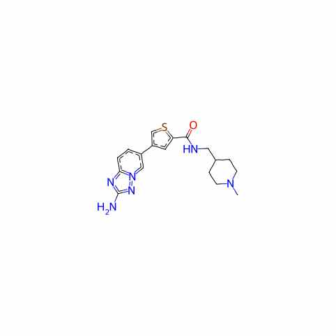 CN1CCC(CNC(=O)c2cc(-c3ccc4nc(N)nn4c3)cs2)CC1